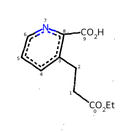 CCOC(=O)CCc1cccnc1C(=O)O